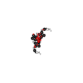 C=Cc1ccc(Oc2ccc(C3(c4ccc(F)cc4)c4ccccc4-c4ccc(N(c5ccc6c(c5)C5(c7ccccc7-6)c6ccccc6-c6ccc(N(c7ccc8c(c7)C(c7ccc(F)cc7)(c7ccc(Oc9ccc(C=C)cc9)cc7)c7ccccc7-8)c7c(F)cc(F)c(F)c7F)cc65)c5c(F)cc(F)c(F)c5F)cc43)cc2)cc1